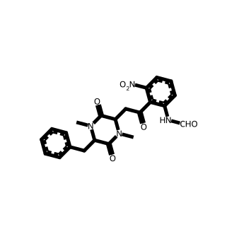 CN1C(=O)C(Cc2ccccc2)N(C)C(=O)C1CC(=O)c1c(NC=O)cccc1[N+](=O)[O-]